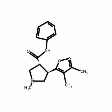 Cc1noc([C@H]2CN(C)C[C@@H]2C(=O)Nc2ccccc2)c1C